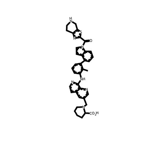 Cc1c(Nc2nccc3cc(CN4CCCCC4C(=O)O)cnc23)cccc1-c1cccc2c1ccn2C(=O)c1nc2c(s1)CNCC2